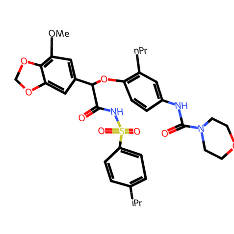 CCCc1cc(NC(=O)N2CCOCC2)ccc1OC(C(=O)NS(=O)(=O)c1ccc(C(C)C)cc1)c1cc(OC)c2c(c1)OCO2